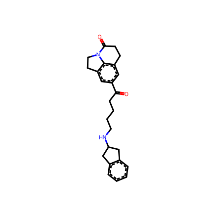 O=C(CCCCNC1Cc2ccccc2C1)c1cc2c3c(c1)CCN3C(=O)CC2